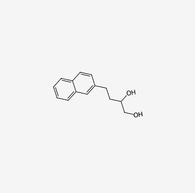 OCC(O)CCc1ccc2ccccc2c1